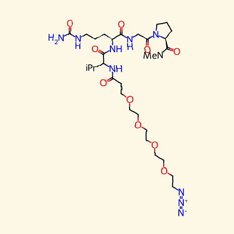 CNC(=O)[C@@H]1CCCN1C(=O)CNC(=O)[C@H](CCCNC(N)=O)NC(=O)C(NC(=O)CCOCCOCCOCCOCCN=[N+]=[N-])C(C)C